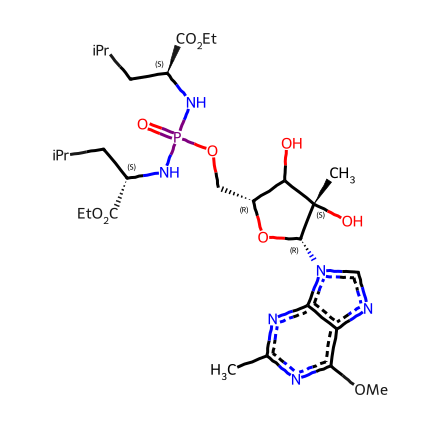 CCOC(=O)[C@H](CC(C)C)NP(=O)(N[C@@H](CC(C)C)C(=O)OCC)OC[C@H]1O[C@@H](n2cnc3c(OC)nc(C)nc32)[C@@](C)(O)C1O